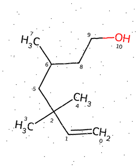 C=CC(C)(C)CC(C)CCO